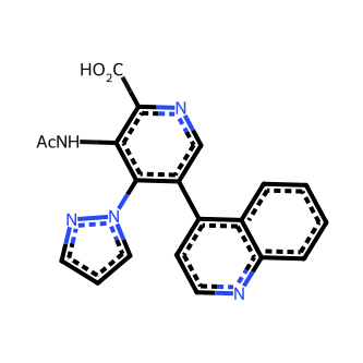 CC(=O)Nc1c(C(=O)O)ncc(-c2ccnc3ccccc23)c1-n1cccn1